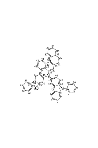 c1ccc(-n2c3ccccc3c3cc(N(c4ccc5c(c4)oc4ccccc45)c4cc5ccc6ccccc6c5c5ccccc45)ccc32)cc1